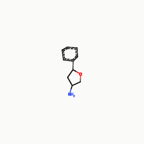 NC1COC(c2ccccc2)C1